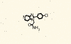 NC(=O)Cn1c(-c2ccc(Cl)cc2)nc2cnccc21